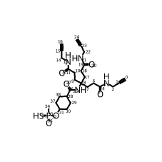 C#CCNC(=O)CCC(CCC(=O)NCC#C)(CCC(=O)NCC#C)NC(=O)C1CCC(OP(C)(=O)S)CC1